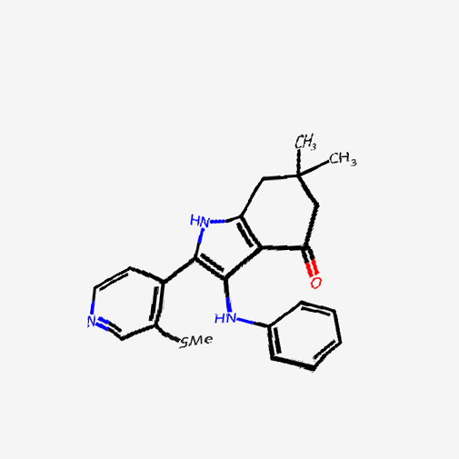 CSc1cnccc1-c1[nH]c2c(c1Nc1ccccc1)C(=O)CC(C)(C)C2